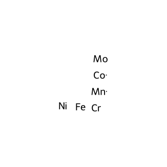 [Co].[Cr].[Fe].[Mn].[Mo].[Ni]